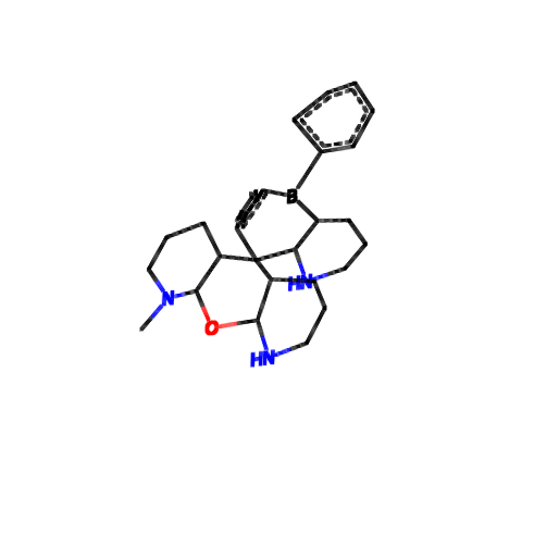 CN1CCCC2C1OC1NCCCC1C21c2ccccc2B(c2ccccc2)C2CCCNC21